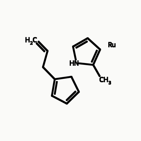 C=CCC1=CC=CC1.Cc1ccc[nH]1.[Ru]